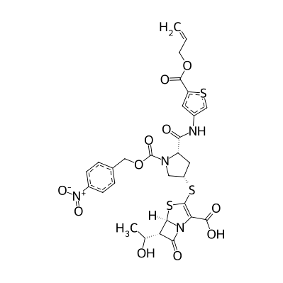 C=CCOC(=O)c1cc(NC(=O)[C@@H]2C[C@H](SC3=C(C(=O)O)N4C(=O)[C@H](C(C)O)[C@H]4S3)CN2C(=O)OCc2ccc([N+](=O)[O-])cc2)cs1